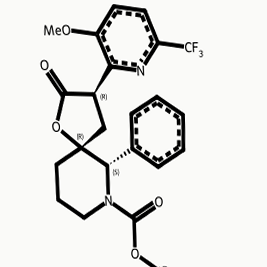 COc1ccc(C(F)(F)F)nc1[C@H]1C[C@@]2(CCCN(C(=O)OC(C)(C)C)[C@H]2c2ccccc2)OC1=O